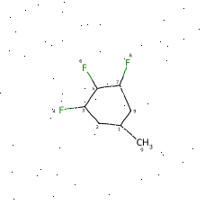 CC1CC(F)C(F)C(F)C1